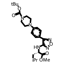 COC(=O)[C@H](CC(C)C)Nc1nonc1-c1ccc(N2CCN(C(=O)OC(C)(C)C)CC2)cc1